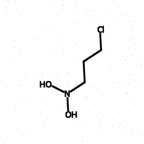 ON(O)CCCCl